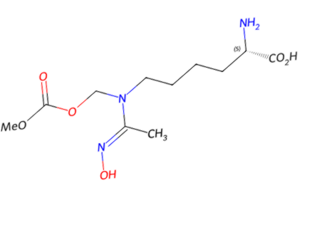 COC(=O)OCN(CCCC[C@H](N)C(=O)O)C(C)=NO